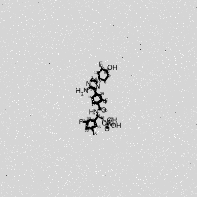 Nc1ncc([C@H]2CC[C@H](O)[C@@H](F)C2)nc1-c1ccc(C(=O)N[C@@H](COP(=O)(O)O)c2cc(F)cc(I)c2)c(F)c1